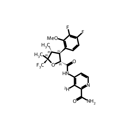 [2H]c1c(NC(=O)[C@@H]2O[C@@](C)(C(F)(F)F)[C@H](C)[C@H]2c2ccc(F)c(F)c2OC)ccnc1C(N)=O